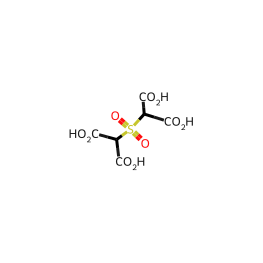 O=C(O)C(C(=O)O)S(=O)(=O)C(C(=O)O)C(=O)O